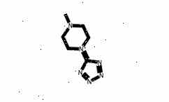 CN1CC[N+](=C2N=NN=N2)CC1